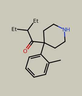 CCC(CC)C(=O)C1(c2ccccc2C)CCNCC1